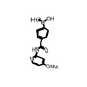 COc1ccnc(NC(=O)c2ccc(B(O)O)cc2)c1